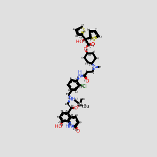 CN(CCC(=O)Nc1ccc(CNC[C@@H](O[Si](C)(C)C(C)(C)C)c2ccc(O)c3[nH]c(=O)ccc23)cc1Cl)C1CCC(OC(=O)C(O)(c2cccs2)c2cccs2)CC1